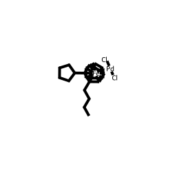 CCCC[C]12[CH]3[CH]4[CH]5[C]1(C1CCCC1)[Fe]43521678[CH]2[CH]1[CH]6[CH]7[CH]28.[Cl][Pd][Cl]